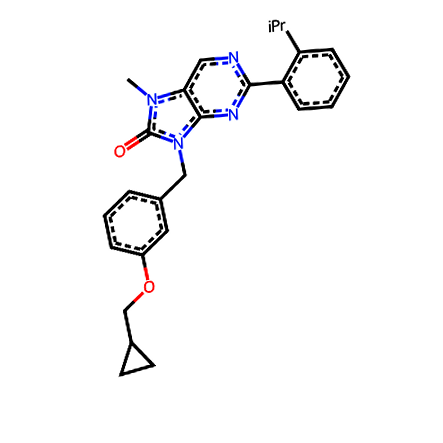 CC(C)c1ccccc1-c1ncc2c(n1)n(Cc1cccc(OCC3CC3)c1)c(=O)n2C